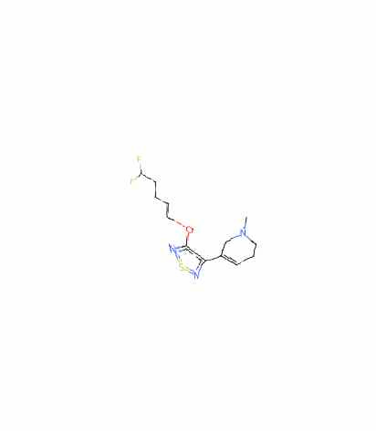 CN1CCC=C(c2nsnc2OCCCCC(F)F)C1